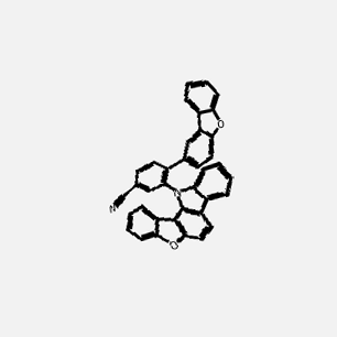 N#Cc1ccc(-c2ccc3oc4ccccc4c3c2)c(-n2c3ccccc3c3ccc4oc5ccccc5c4c32)c1